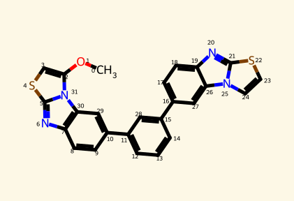 COc1csc2nc3ccc(-c4cccc(-c5ccc6nc7sccn7c6c5)c4)cc3n12